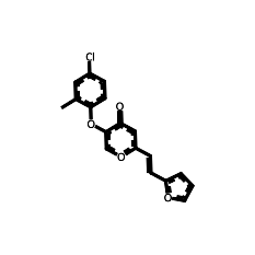 Cc1cc(Cl)ccc1Oc1coc(/C=C/c2ccco2)cc1=O